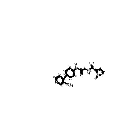 Cn1nccc1C(=O)NCC(=O)Nc1ccc(-c2ccncc2C#N)cc1